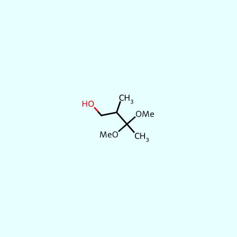 COC(C)(OC)C(C)CO